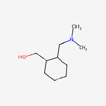 CN(C)CC1CCCCC1CO